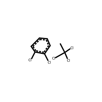 CC(Cl)(Cl)Cl.Clc1ccccc1Cl